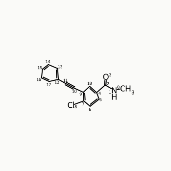 CNC(=O)c1ccc(Cl)c(C#Cc2ccccc2)c1